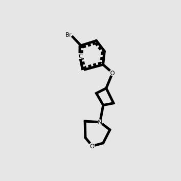 Brc1ccc(OC2CC(N3CCOCC3)C2)cc1